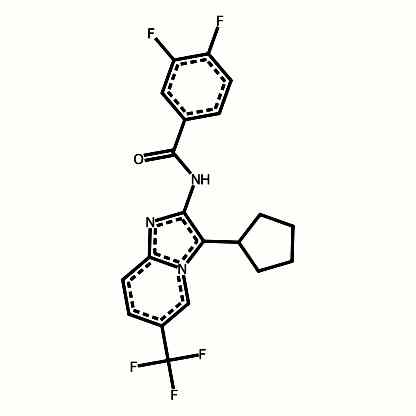 O=C(Nc1nc2ccc(C(F)(F)F)cn2c1C1CCCC1)c1ccc(F)c(F)c1